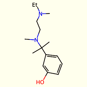 CCN(C)CCN(C)C(C)(C)c1cccc(O)c1